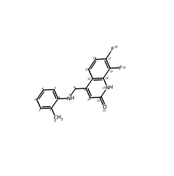 Cc1ccccc1NCc1cc(=O)[nH]c2c(F)c(F)ccc12